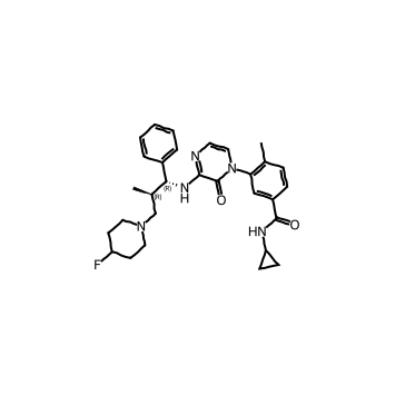 Cc1ccc(C(=O)NC2CC2)cc1-n1ccnc(N[C@@H](c2ccccc2)[C@H](C)CN2CCC(F)CC2)c1=O